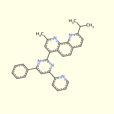 Cc1cc(-c2nc(-c3ccccc3)cc(-c3ccccn3)n2)c2ccc3ccc(C(C)C)nc3c2n1